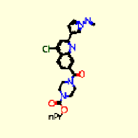 C=Nn1ccc(-c2cc(Cl)c3ccc(C(=O)N4CCN(C(=O)OCCC)CC4)cc3n2)c1